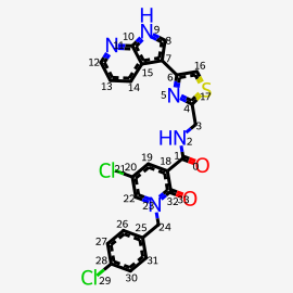 O=C(NCc1nc(-c2c[nH]c3ncccc23)cs1)c1cc(Cl)cn(Cc2ccc(Cl)cc2)c1=O